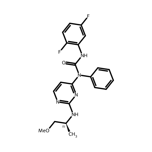 COC[C@H](C)Nc1nccc(N(C(=O)Nc2cc(F)ccc2F)c2ccccc2)n1